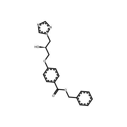 O=C(OCc1ccccc1)c1ccc(OC[C@@H](O)Cn2cncn2)cc1